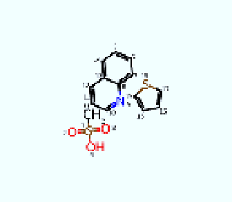 CS(=O)(=O)O.c1ccc2ncccc2c1.c1ccsc1